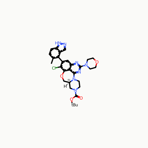 Cc1ccc2[nH]ncc2c1-c1cc2nc(N3CCOCC3)nc3c2c(c1Cl)OC[C@@H]1CN(C(=O)OC(C)(C)C)CCN31